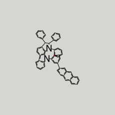 c1ccc(C2c3ccc4c5ccccc5n(-c5cccc(-c6ccc7cc8ccccc8cc7c6)c5)c4c3N(c3ccccc3)C2c2ccccc2)cc1